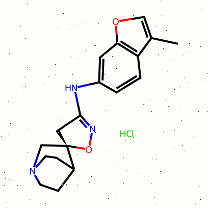 Cc1coc2cc(NC3=NO[C@@]4(C3)CN3CCC4CC3)ccc12.Cl